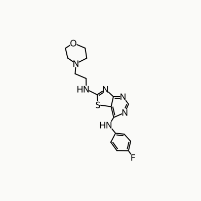 Fc1ccc(Nc2ncnc3nc(NCCN4CCOCC4)sc23)cc1